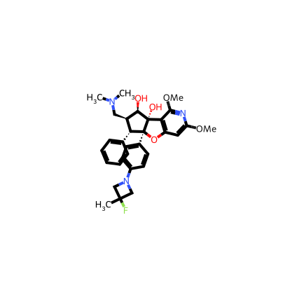 COc1cc2c(c(OC)n1)[C@]1(O)[C@H](O)[C@H](CN(C)C)[C@@H](c3ccccc3)[C@]1(c1ccc(N3CC(C)(F)C3)cc1)O2